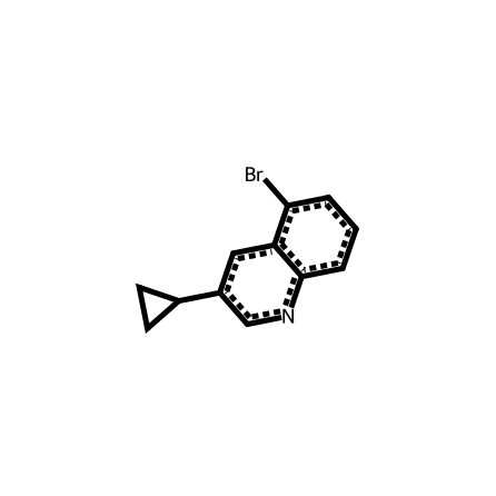 Brc1cccc2ncc(C3CC3)cc12